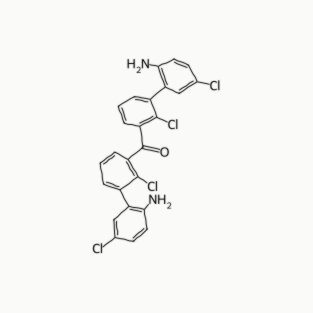 Nc1ccc(Cl)cc1-c1cccc(C(=O)c2cccc(-c3cc(Cl)ccc3N)c2Cl)c1Cl